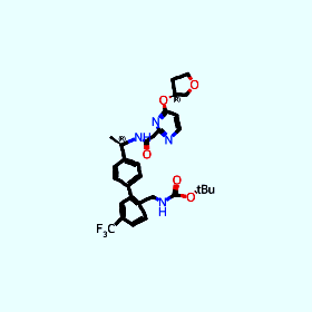 C[C@@H](NC(=O)c1nccc(O[C@@H]2CCOC2)n1)c1ccc(-c2cc(C(F)(F)F)ccc2CNC(=O)OC(C)(C)C)cc1